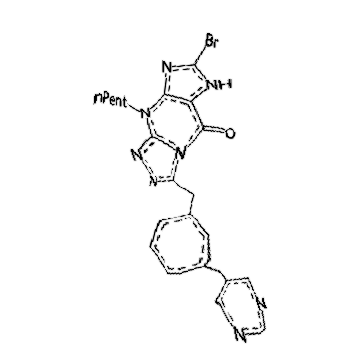 CCCCCn1c2nc(Br)[nH]c2c(=O)n2c(Cc3cccc(-c4cncnc4)c3)nnc12